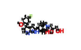 COc1ccc(F)cc1-c1ccnc2[nH]c([C@@H]3C[C@@H]4CN(CC(O)CO)C[C@@H]4C3)cc12